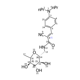 CCCN(CCC)c1ccc(/C=C(\C#N)C(=O)NC[C@H]2OC(C)[C@H](O)[C@@H](O)[C@@H]2O)cc1